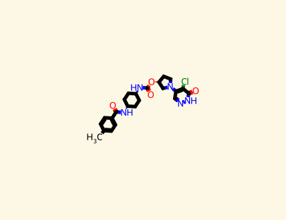 Cc1ccc(C(=O)N[C@H]2CC[C@H](NC(=O)O[C@@H]3CCN(c4cn[nH]c(=O)c4Cl)C3)CC2)cc1